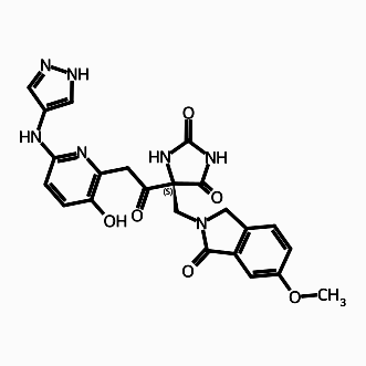 COc1ccc2c(c1)C(=O)N(C[C@@]1(C(=O)Cc3nc(Nc4cn[nH]c4)ccc3O)NC(=O)NC1=O)C2